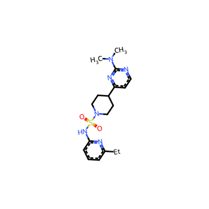 CCc1cccc(NS(=O)(=O)N2CCC(c3ccnc(N(C)C)n3)CC2)n1